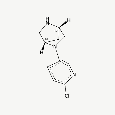 Clc1ccc(N2C[C@@H]3C[C@H]2CN3)cn1